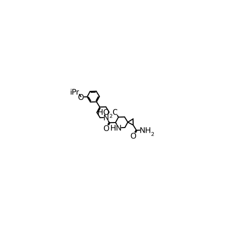 CC(C)Oc1cccc(C2=CCN(C(=O)C3NCC4(CC3C(=O)O)CC4C(N)=O)CC2)c1